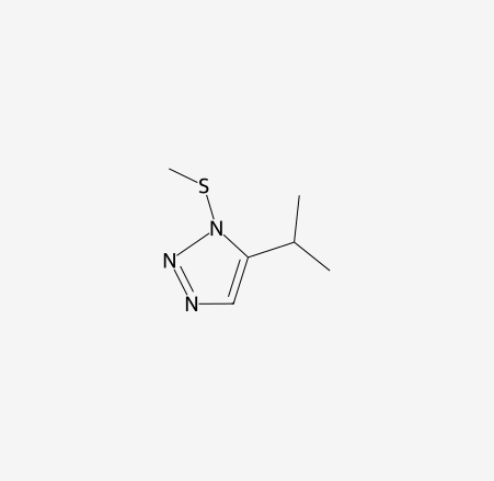 CSn1nncc1C(C)C